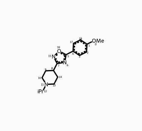 COc1ccc(-c2nc(C3CCN(C(C)C)CC3)no2)cc1